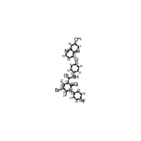 COc1cnc2c(Oc3ccc(NC(=O)c4c(C)c(Br)c(C)n(-c5ccc(F)cc5)c4=O)cc3)ccnc2c1